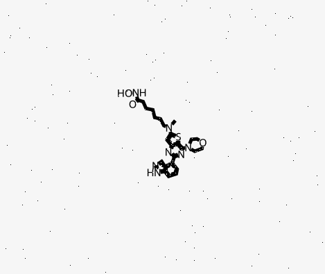 CN(CCCCCCC(=O)NO)c1cc2nc(-c3cccc4[nH]ncc34)nc(N3CCOCC3)c2s1